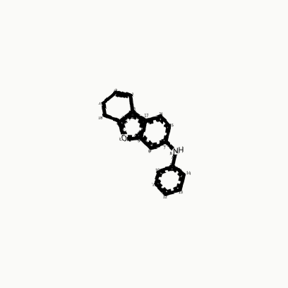 C1=Cc2c(oc3cc(Nc4ccccc4)ccc23)CC1